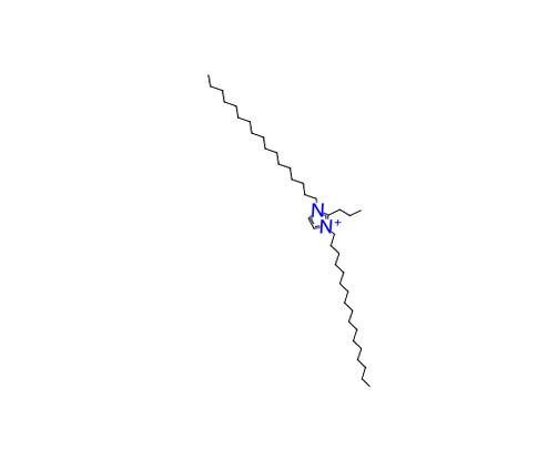 CCCCCCCCCCCCCCCCCn1cc[n+](CCCCCCCCCCCCCCCCC)c1CCC